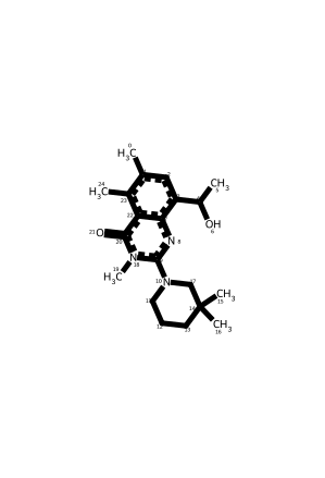 Cc1cc(C(C)O)c2nc(N3CCCC(C)(C)C3)n(C)c(=O)c2c1C